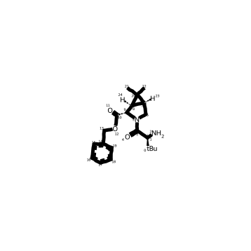 CC(C)(C)[C@H](N)C(=O)N1C[C@H]2[C@@H]([C@H]1C(=O)OCc1ccccc1)C2(C)C